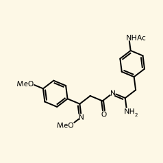 CON=C(CC(=O)N=C(N)Cc1ccc(NC(C)=O)cc1)c1ccc(OC)cc1